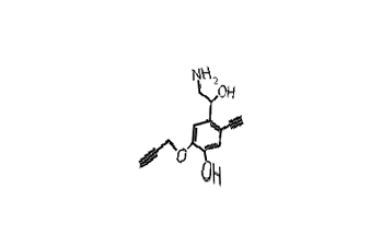 C#CCOc1cc(C(O)CN)c(C#C)cc1O